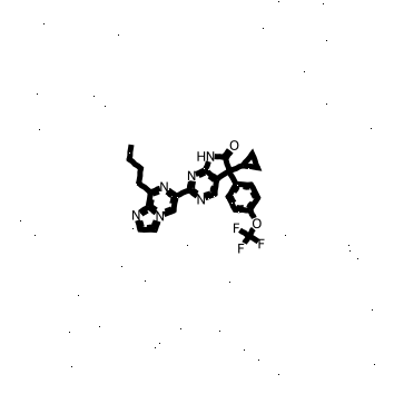 CCCCc1nc(-c2ncc3c(n2)NC(=O)C3(c2ccc(OC(F)(F)F)cc2)C2CC2)cn2ccnc12